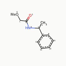 COCC(=O)NC(C)c1ccccc1